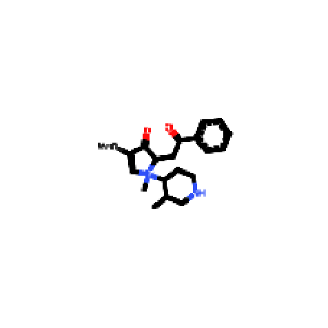 COC1=C[N+](C)(C2CCNCC2C)C(CC(=O)c2ccccc2)C1=O